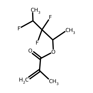 C=C(C)C(=O)OC(C)C(F)(F)C(C)F